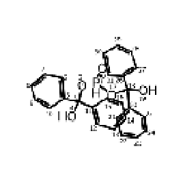 O=[PH](OC(O)(c1ccccc1)c1ccccc1)OC(O)(c1ccccc1)c1ccccc1